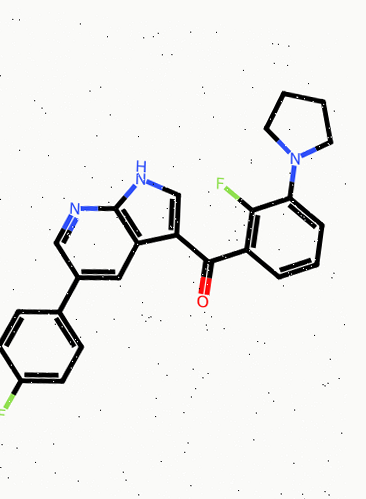 O=C(c1cccc(N2CCCC2)c1F)c1c[nH]c2ncc(-c3ccc(F)cc3)cc12